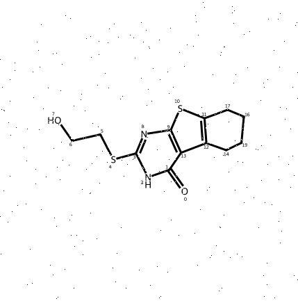 O=c1[nH]c(SCCO)nc2sc3c(c12)CCCC3